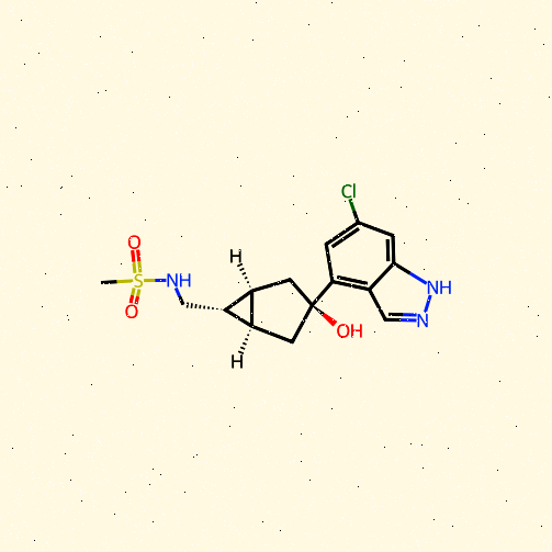 CS(=O)(=O)NC[C@@H]1[C@H]2C[C@](O)(c3cc(Cl)cc4[nH]ncc34)C[C@@H]12